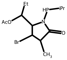 CCC(OC(C)=O)C1C(Br)C(C)C(=O)N1PC(C)C